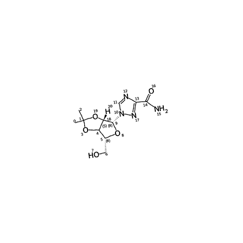 CC1(C)OC2[C@@H](CO)O[C@@H](n3cnc(C(N)=O)n3)[C@H]2O1